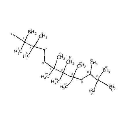 BC(C)(F)C(C)(C)CCC(C)(C)C(C)(C)C(C)(C)CC(C)C(B)(B)C(C)(C)C